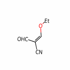 CCO/C=C(/C#N)C=O